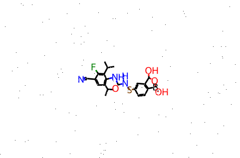 CC(C)c1cc(C#N)c(F)c(C(C)C)c1NC(=O)NSc1ccc2c(c1)C(O)OB2O